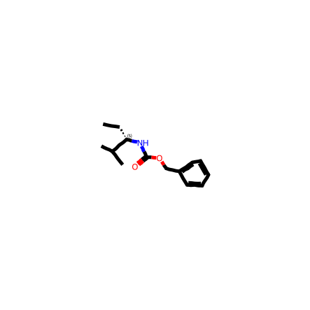 CC[C@H](NC(=O)OCc1ccccc1)C(C)C